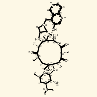 CC[C@H]1OC(=O)[C@H](C)C(=O)[C@H](C)[C@@H](O[C@@H]2O[C@H](C)C[C@H](N(C)C)[C@H]2O)[C@](C)(OC)C[C@@H](C)C(=O)[C@H](C)[C@H](NC2CN(Cc3c(O)cnc4ccncc34)C2)[C@]1(C)OC=O